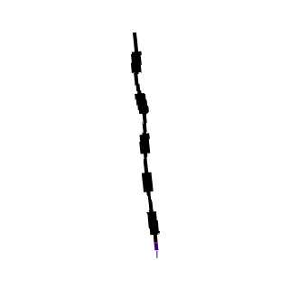 CC#CC#CC#CC#CC#CI